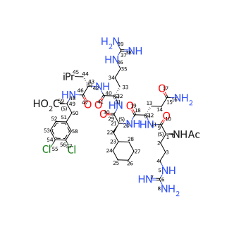 CC(=O)N[C@@H](CCCNC(=N)N)C(=O)N[C@@H](CCC(N)=O)C(=O)N[C@@H](CC1CCCCC1)C(=O)N[C@@H](CCCNC(=N)N)C(=O)N[C@@H](CC(C)C)C(=O)N[C@@H](Cc1ccc(Cl)c(Cl)c1)C(=O)O